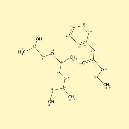 CC(O)COC(C)COC(C)CO.CCOC(=O)Nc1ccccc1